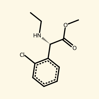 CCN[C@H](C(=O)OC)c1ccccc1Cl